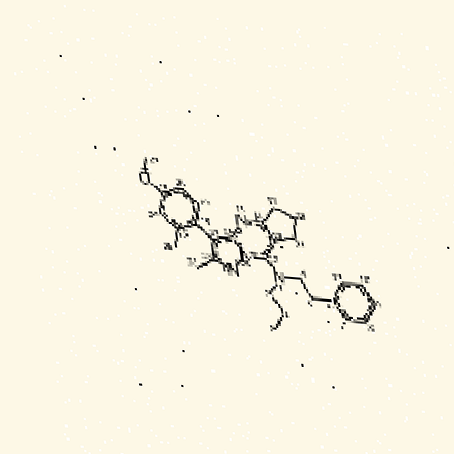 CCCN(CCc1ccccc1)c1c2c(nc3c(-c4ccc(OC)cc4C)c(C)nn13)CCC2